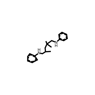 CC(CNc1ccccc1)CC(C)(C)CNc1ccccc1